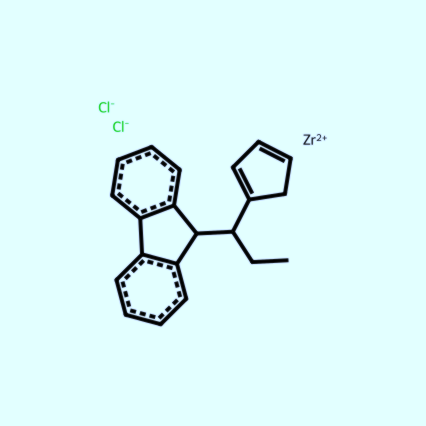 CCC(C1=CC=CC1)C1c2ccccc2-c2ccccc21.[Cl-].[Cl-].[Zr+2]